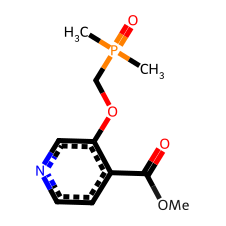 COC(=O)c1ccncc1OCP(C)(C)=O